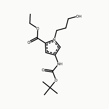 CCOC(=O)c1cc(NC(=O)OC(C)(C)C)cn1CCCO